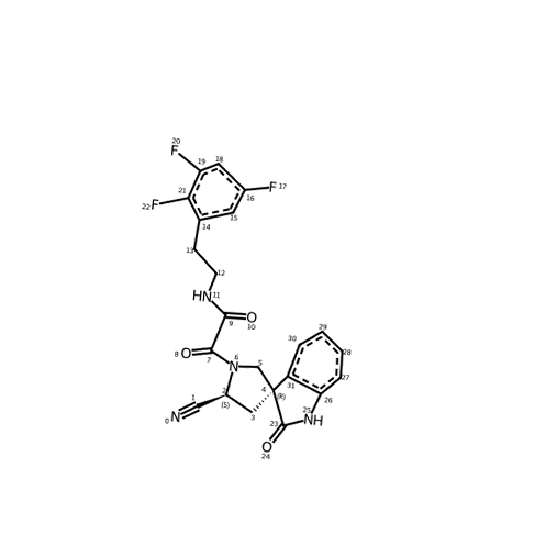 N#C[C@@H]1C[C@@]2(CN1C(=O)C(=O)NCCc1cc(F)cc(F)c1F)C(=O)Nc1ccccc12